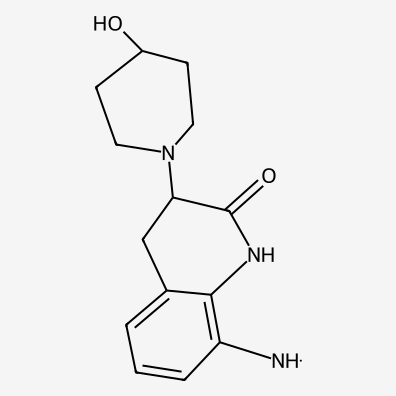 [NH]c1cccc2c1NC(=O)C(N1CCC(O)CC1)C2